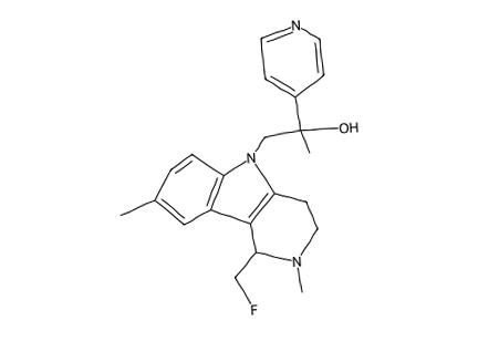 Cc1ccc2c(c1)c1c(n2CC(C)(O)c2ccncc2)CCN(C)C1CF